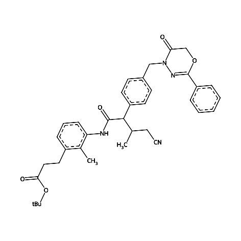 Cc1c(CCC(=O)OC(C)(C)C)cccc1NC(=O)C(c1ccc(CN2N=C(c3ccccc3)OCC2=O)cc1)C(C)CC#N